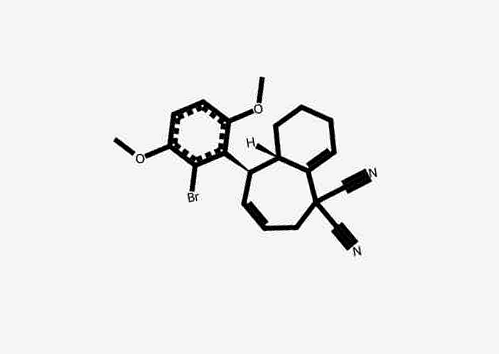 COc1ccc(OC)c([C@@H]2C=CCC(C#N)(C#N)C3=CCCC[C@H]32)c1Br